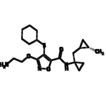 C[C@H]1CC1CC1(NC(=O)c2onc(OCCN)c2SC2CCCCC2)CC1